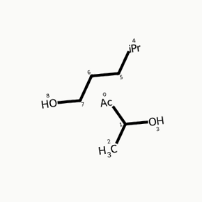 CC(=O)C(C)O.CC(C)CCCO